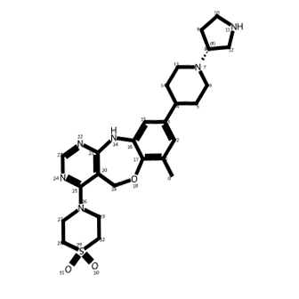 Cc1cc(C2CCN([C@@H]3CCNC3)CC2)cc2c1OCc1c(ncnc1N1CCS(=O)(=O)CC1)N2